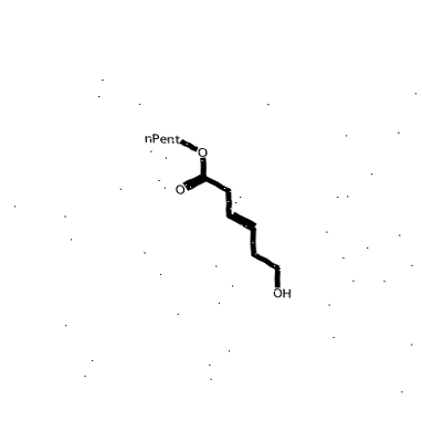 CCCCCOC(=O)CC=CCCO